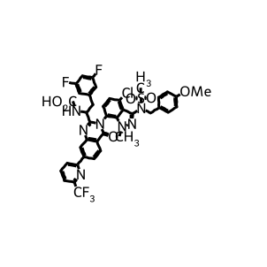 COc1ccc(CN(c2nn(C)c3c(-n4c(C(Cc5cc(F)cc(F)c5)NC(=O)O)nc5cc(-c6cccc(C(F)(F)F)n6)ccc5c4=O)ccc(Cl)c23)S(C)(=O)=O)cc1